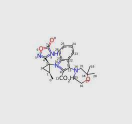 C[C@H]1C[C@]1(c1noc(=O)[nH]1)n1c(C(=O)O)c(N2CCOC(C)(C)C2)c2ccccc21